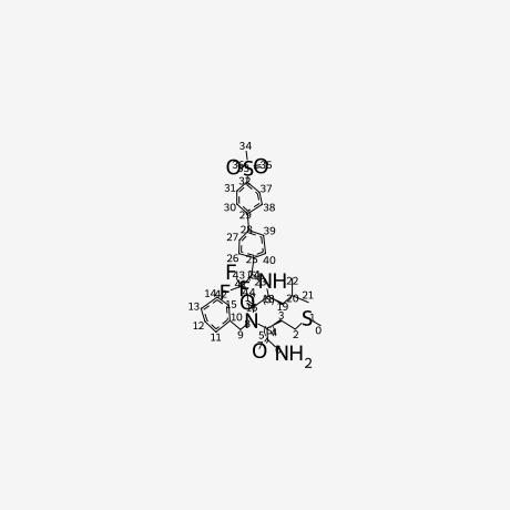 CSCC[C@@H](C(N)=O)N(Cc1ccccc1)C(=O)[C@H](CC(C)C)N[C@@H](c1ccc(-c2ccc(S(C)(=O)=O)cc2)cc1)C(F)(F)F